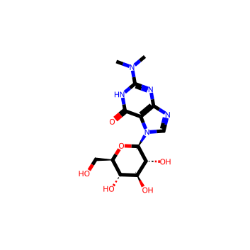 CN(C)c1nc2ncn([C@@H]3O[C@H](CO)[C@@H](O)[C@H](O)[C@H]3O)c2c(=O)[nH]1